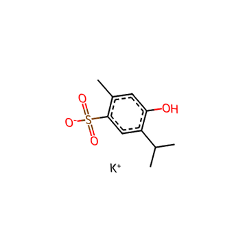 Cc1cc(O)c(C(C)C)cc1S(=O)(=O)[O-].[K+]